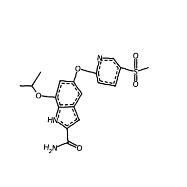 CC(C)Oc1cc(Oc2ccc(S(C)(=O)=O)cn2)cc2cc(C(N)=O)[nH]c12